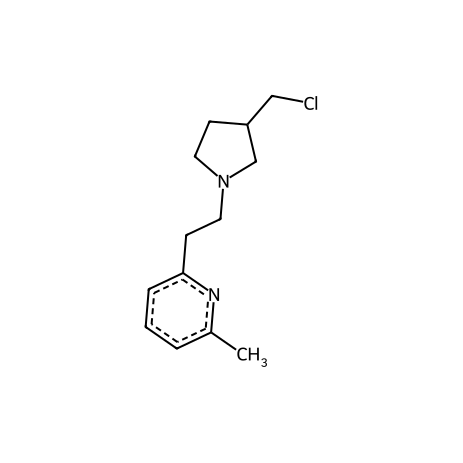 Cc1cccc(CCN2CCC(CCl)C2)n1